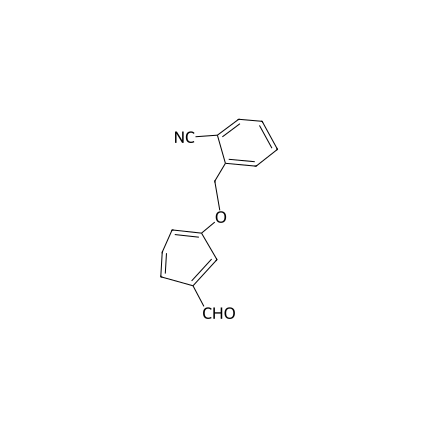 N#Cc1ccccc1COc1cccc(C=O)c1